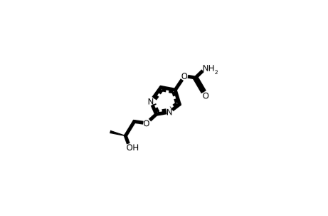 C[C@H](O)COc1ncc(OC(N)=O)cn1